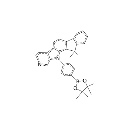 CC1(C)c2ccccc2-c2ccc3c4ccncc4n(-c4ccc(B5OC(C)(C)C(C)(C)O5)cc4)c3c21